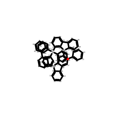 c1ccc(-c2cccc(-n3c4ccccc4c4cc(-c5ccccc5)c(-n5c6ccccc6c6cccc([Si](c7ccccc7)(c7ccccc7)c7ccccc7)c65)cc43)c2)cc1